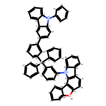 c1ccc(-n2c3ccccc3c3cc(-c4cccc([Si](c5ccccc5)(c5ccccc5)c5cccc(-n6c7ccccc7c7ccc8oc9ccccc9c8c76)c5)c4)ccc32)cc1